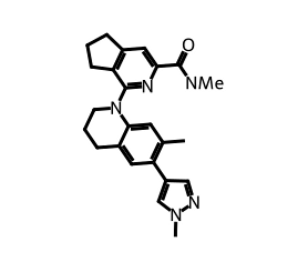 CNC(=O)c1cc2c(c(N3CCCc4cc(-c5cnn(C)c5)c(C)cc43)n1)CCC2